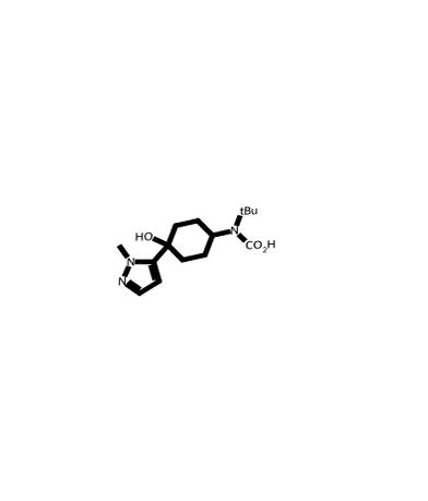 Cn1nccc1C1(O)CCC(N(C(=O)O)C(C)(C)C)CC1